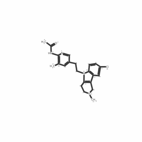 CC(=O)Nc1ncc(CCn2c3c(c4cc(Cl)ccc42)CN(C)CC3)cc1C